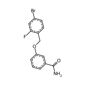 NC(=O)c1cccc(OCc2ccc(Br)cc2F)c1